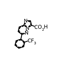 O=C(O)c1cnc2ccc(-c3ccccc3C(F)(F)F)nn12